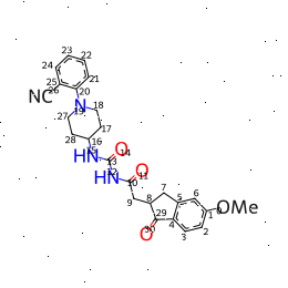 COc1ccc2c(c1)CC(CC(=O)NC(=O)NC1CCN(c3ccccc3C#N)CC1)C2=O